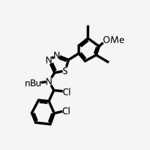 CCCCN(c1nnc(-c2cc(C)c(OC)c(C)c2)s1)C(Cl)c1ccccc1Cl